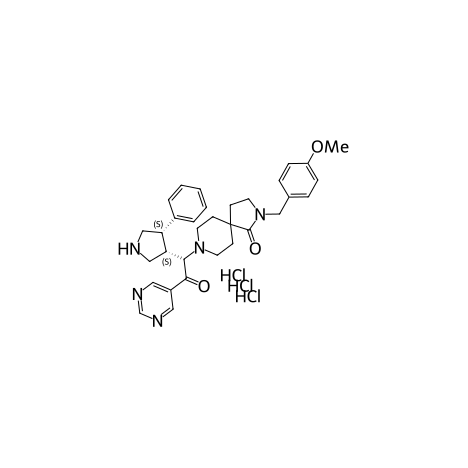 COc1ccc(CN2CCC3(CCN(C(C(=O)c4cncnc4)[C@@H]4CNC[C@@H]4c4ccccc4)CC3)C2=O)cc1.Cl.Cl.Cl